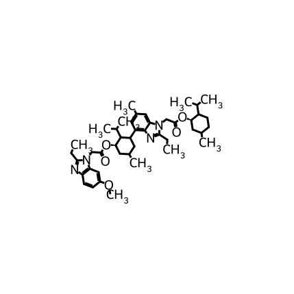 CCc1nc2ccc(OC)cc2n1CC(=O)O[C@@H]1CC(C)CC(c2cc(C)cc3c2nc(CC)n3CC(=O)O[C@@H]2CC(C)CCC2C(C)C)C1C(C)C